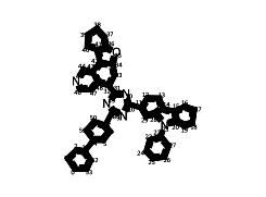 c1ccc(-c2ccc(-c3nc(-c4ccc5c6ccccc6n(-c6ccccc6)c5c4)nc(-c4cc5oc6ccccc6c5c5cnccc45)n3)cc2)cc1